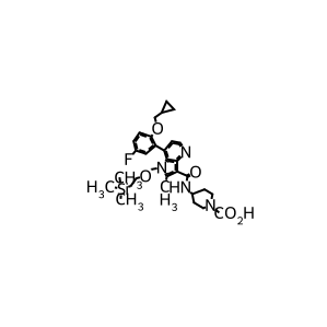 Cc1c(C(=O)NC2CCN(C(=O)O)CC2)c2nccc(-c3cc(F)ccc3OCC3CC3)c2n1COCC[Si](C)(C)C